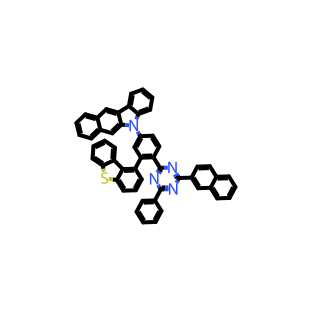 c1ccc(-c2nc(-c3ccc4ccccc4c3)nc(-c3ccc(-n4c5ccccc5c5cc6ccccc6cc54)cc3-c3cccc4sc5ccccc5c34)n2)cc1